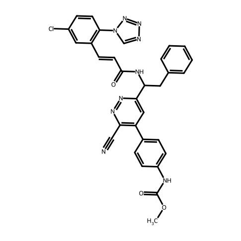 COC(=O)Nc1ccc(-c2cc(C(Cc3ccccc3)NC(=O)C=Cc3cc(Cl)ccc3-n3cnnn3)nnc2C#N)cc1